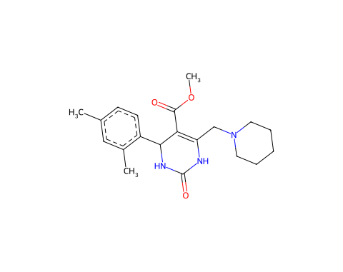 COC(=O)C1=C(CN2CCCCC2)NC(=O)NC1c1ccc(C)cc1C